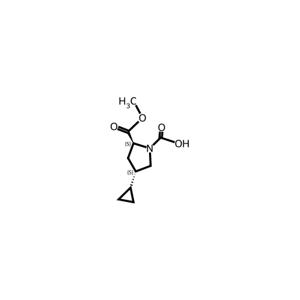 COC(=O)[C@@H]1C[C@@H](C2CC2)CN1C(=O)O